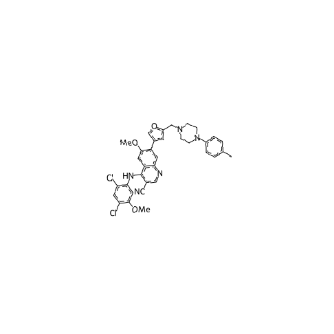 COc1cc(Nc2c(C#N)cnc3cc(-c4coc(CN5CCN(c6ccc(C)cc6)CC5)c4)c(OC)cc23)c(Cl)cc1Cl